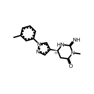 Cc1cccc(-n2cc([C@@H]3CC(=O)N(C)C(=N)N3)cn2)c1